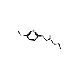 CCOPCSc1ccc(OC)cn1